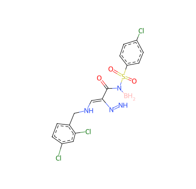 BN(C(=O)/C(=C/NCc1ccc(Cl)cc1Cl)N=N)S(=O)(=O)c1ccc(Cl)cc1